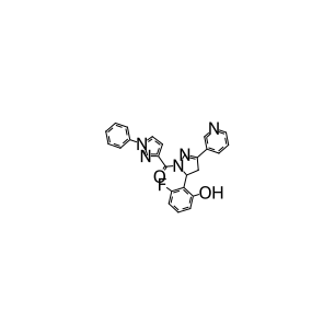 O=C(c1ccn(-c2ccccc2)n1)N1N=C(c2cccnc2)CC1c1c(O)cccc1F